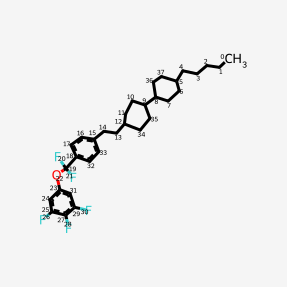 CCCCCC1CCC(C2CCC(CCc3ccc(C(F)(F)Oc4cc(F)c(F)c(F)c4)cc3)CC2)CC1